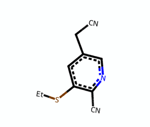 CCSc1cc(CC#N)cnc1C#N